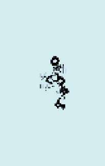 C[C@@H]1CN(c2nc(-n3ccc(OCC4CCC45CC5)n3)ccc2C(=O)NS(=O)(=O)c2ccccc2)C(C)(C)C1